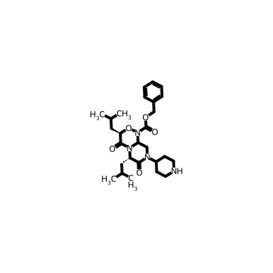 CC(C)C[C@H]1ON(C(=O)OCc2ccccc2)C2CN(C3CCNCC3)C(=O)[C@H](CC(C)C)N2C1=O